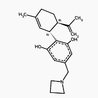 C=C(C)[C@@H]1CCC(C)=C[C@H]1c1c(O)cc(CN2CCC2)cc1O